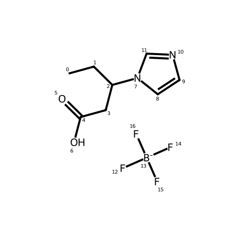 CCC(CC(=O)O)n1ccnc1.F[B-](F)(F)F